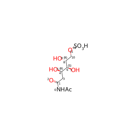 CC(=O)NC(=O)C[C@@H](O)[C@H](O)[C@H](O)COS(=O)(=O)O